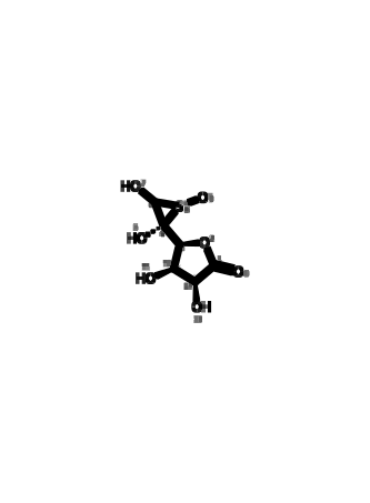 O=C1O[C@H]([C@@]2(O)C(O)[S+]2[O-])[C@H](O)[C@@H]1O